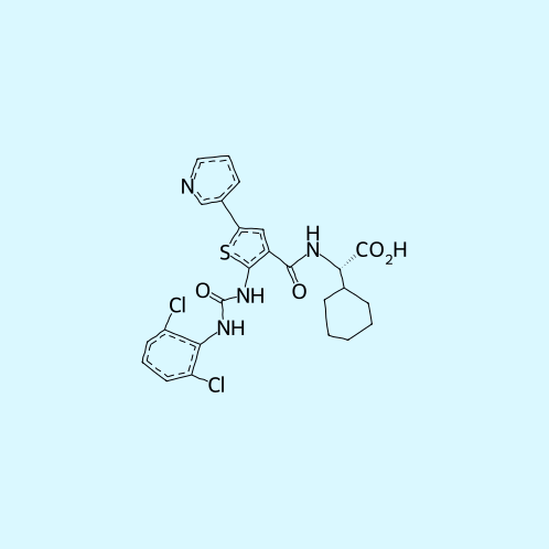 O=C(Nc1sc(-c2cccnc2)cc1C(=O)N[C@H](C(=O)O)C1CCCCC1)Nc1c(Cl)cccc1Cl